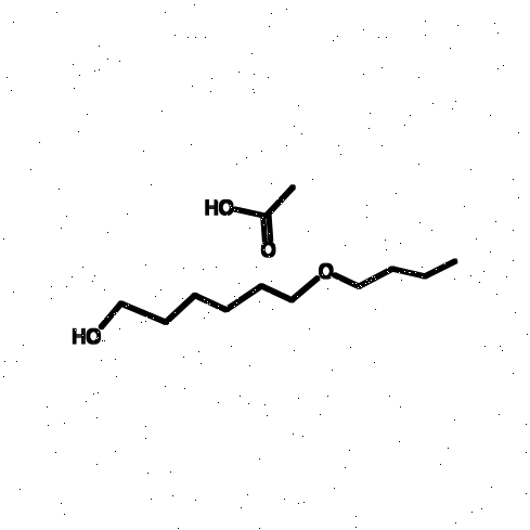 CC(=O)O.CCCCOCCCCCCO